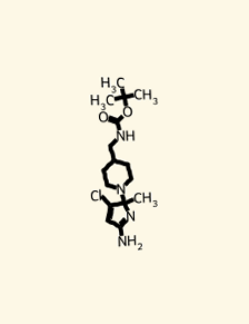 CC(C)(C)OC(=O)NCC1CCN(C2(C)N=C(N)C=C2Cl)CC1